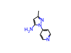 Cc1cc(N)n(-c2ccncc2)n1